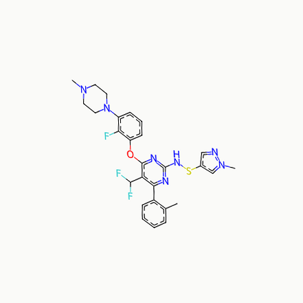 Cc1ccccc1-c1nc(NSc2cnn(C)c2)nc(Oc2cccc(N3CCN(C)CC3)c2F)c1C(F)F